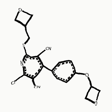 N#Cc1c(Cl)nc(SCC2COC2)c(C#N)c1-c1ccc(OC2COC2)cc1